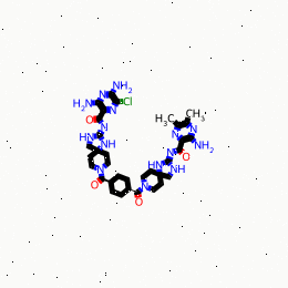 Cc1nc(N)c(C(=O)/N=C2\NCC3(CCN(C(=O)[C@H]4CC[C@H](C(=O)N5CCC6(CC5)CN/C(=N\C(=O)c5nc(Cl)c(N)nc5N)N6)CC4)CC3)N2)nc1C